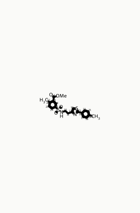 COC(=O)c1cc(S(=O)(=O)NCCc2csc(-c3ccc(C)cc3)n2)ccc1C